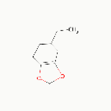 CCC1CCC2=C(C1)OCO2